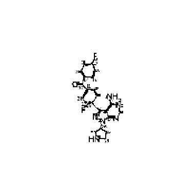 Nc1ncnc2c1c(-c1ccc(C(=O)c3ccc(F)cc3)cc1F)nn2C1CCNC1